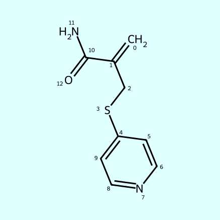 C=C(CSc1ccncc1)C(N)=O